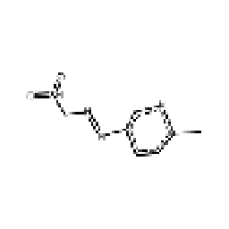 Cc1ccc(N=NC[SH](=O)=O)cn1